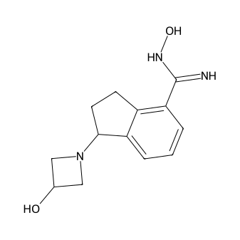 N=C(NO)c1cccc2c1CCC2N1CC(O)C1